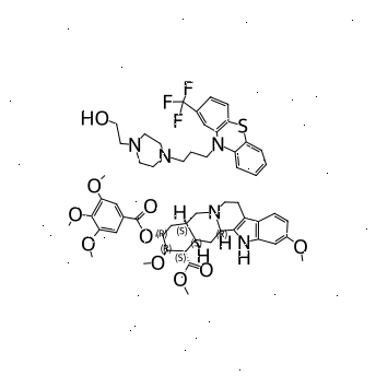 COC(=O)[C@H]1[C@H]2C[C@@H]3c4[nH]c5cc(OC)ccc5c4CCN3C[C@H]2C[C@@H](OC(=O)c2cc(OC)c(OC)c(OC)c2)[C@@H]1OC.OCCN1CCN(CCCN2c3ccccc3Sc3ccc(C(F)(F)F)cc32)CC1